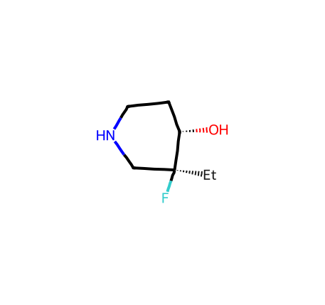 CC[C@]1(F)CNCC[C@@H]1O